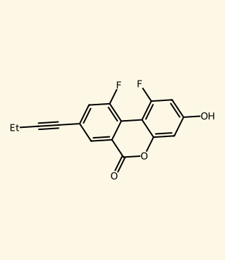 CCC#Cc1cc(F)c2c(c1)c(=O)oc1cc(O)cc(F)c12